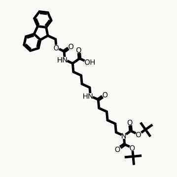 CC(C)(C)OC(=O)N(CCCCCC(=O)NCCCCC(NC(=O)OCC1c2ccccc2-c2ccccc21)C(=O)O)C(=O)OC(C)(C)C